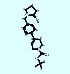 CC(C)(C)OC(=O)N1CC=C(c2ccc(CN3CCCC3=O)cc2)CC1